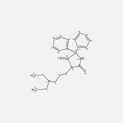 CCN(CC)CCCN1C(=O)NC(c2ccccc2)(c2ccccc2)C1=O